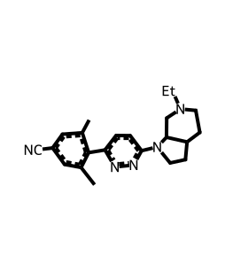 CCN1CCC2CCN(c3ccc(-c4c(C)cc(C#N)cc4C)nn3)C2C1